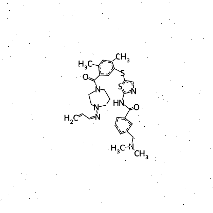 C=C/C=N\N1CCCN(C(=O)c2cc(Sc3cnc(NC(=O)c4cccc(CN(C)C)c4)s3)c(C)cc2C)CC1